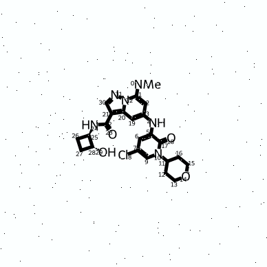 CNc1cc(Nc2cc(Cl)cn(C3CCOCC3)c2=O)cc2c(C(=O)N[C@@H]3CC[C@H]3O)cnn12